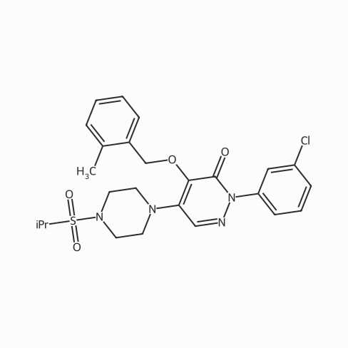 Cc1ccccc1COc1c(N2CCN(S(=O)(=O)C(C)C)CC2)cnn(-c2cccc(Cl)c2)c1=O